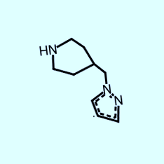 [c]1cnn(CC2CCNCC2)c1